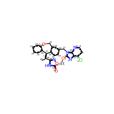 CCOc1nc2c(Cl)ccnc2n1Cc1ccc2c(c1)COc1ccccc1/C2=C(\C)c1noc(=O)[nH]1